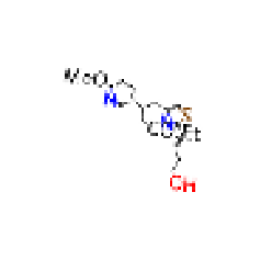 CCOC(=O)CC(Cc1csc(CCCCO)n1)c1ccc(OC)nc1